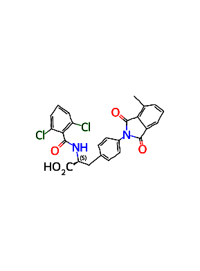 Cc1cccc2c1C(=O)N(c1ccc(C[C@H](NC(=O)c3c(Cl)cccc3Cl)C(=O)O)cc1)C2=O